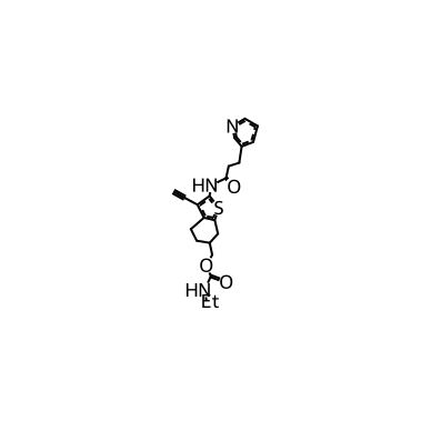 C#Cc1c(NC(=O)CCc2cccnc2)sc2c1CCC(COC(=O)NCC)C2